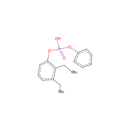 CC(C)(C)Cc1cccc(OP(=O)(O)Oc2ccccc2)c1CC(C)(C)C